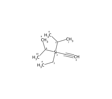 C#C[Si](CC)(C(C)C)C(C)C